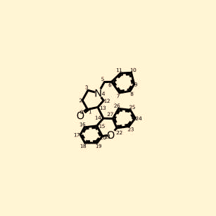 O=C1CCN(Cc2ccccc2)CC1C1c2ccccc2Oc2ccccc21